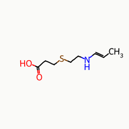 CC=CNCCSCCC(=O)O